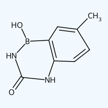 Cc1ccc2c(c1)B(O)NC(=O)N2